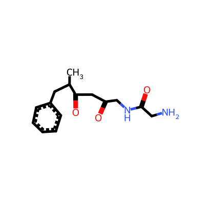 CC(Cc1ccccc1)C(=O)CC(=O)CNC(=O)CN